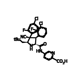 CC(C)(C)C[C@@H]1N[C@@H](C(=O)Nc2ccc(C(=O)O)nc2)[C@H](c2cccc(Cl)c2F)[C@@]1(C#N)c1ccc(Cl)cc1F